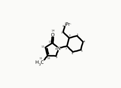 C[C](C)CC1CCCCC1N1CC(C)=CC1=O